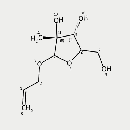 C=CCOC1OC(CO)[C@@H](O)[C@@]1(C)O